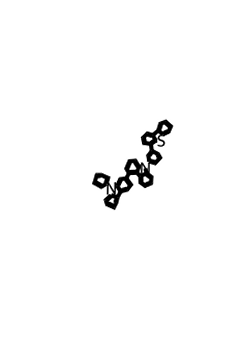 c1ccc(-n2c3ccccc3c3ccc(-c4cccc5c4c4ccccc4n5-c4cccc(-c5cccc6c5sc5ccccc56)c4)cc32)cc1